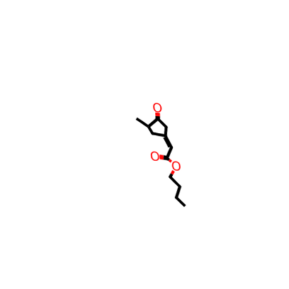 CCCCOC(=O)C=C1CC(=O)C(C)C1